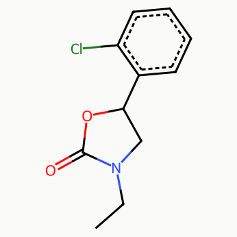 CCN1CC(c2ccccc2Cl)OC1=O